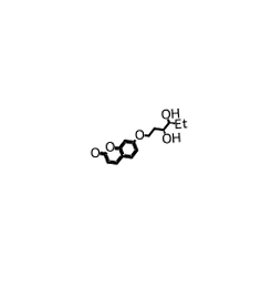 CC[C@H](O)[C@@H](O)CCOc1ccc2ccc(=O)oc2c1